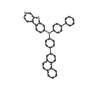 c1ccc(-c2ccc(N(c3ccc(-c4ccc5c(ccc6ccccc65)c4)cc3)c3ccc4c(c3)sc3cnccc34)cc2)cc1